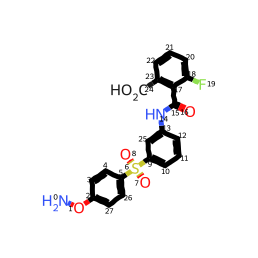 NOc1ccc(S(=O)(=O)c2cccc(NC(=O)c3c(F)cccc3C(=O)O)c2)cc1